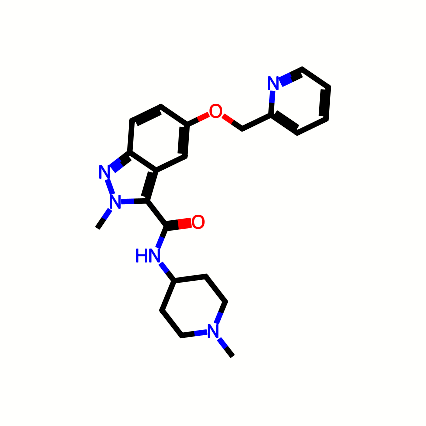 CN1CCC(NC(=O)c2c3cc(OCc4ccccn4)ccc3nn2C)CC1